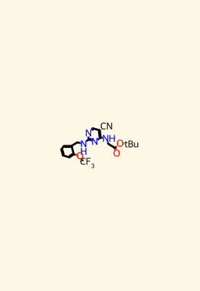 CC(C)(C)OC(=O)CNc1nc(NCc2ccccc2OC(F)(F)F)ncc1C#N